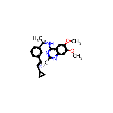 COc1cc2nc(C)nc(N[C@H](C)c3cccc(/C=C/C4CC4)c3)c2cc1OC